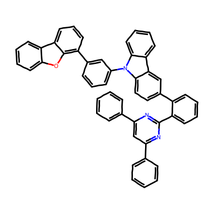 c1ccc(-c2cc(-c3ccccc3)nc(-c3ccccc3-c3ccc4c(c3)c3ccccc3n4-c3cccc(-c4cccc5c4oc4ccccc45)c3)n2)cc1